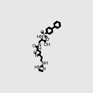 O=C(O)C(CNC(=O)C1CC(CCNc2ncc[nH]2)=NO1)NS(=O)(=O)c1ccc(-c2ccccc2)cc1